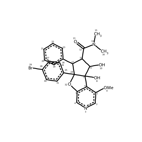 COc1cncc2c1C1(O)C(O)C(C(=O)N(C)C)C(c3ccccc3)C1(c1ccc(Br)cc1)O2